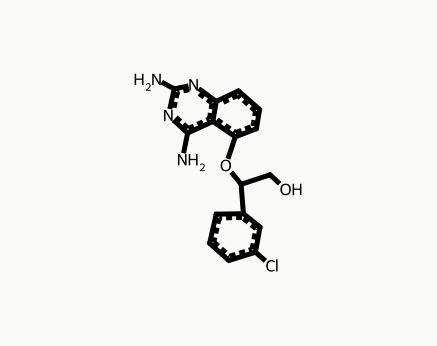 Nc1nc(N)c2c(OC(CO)c3cccc(Cl)c3)cccc2n1